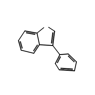 c1ccc(-c2coc3ccccc23)cc1